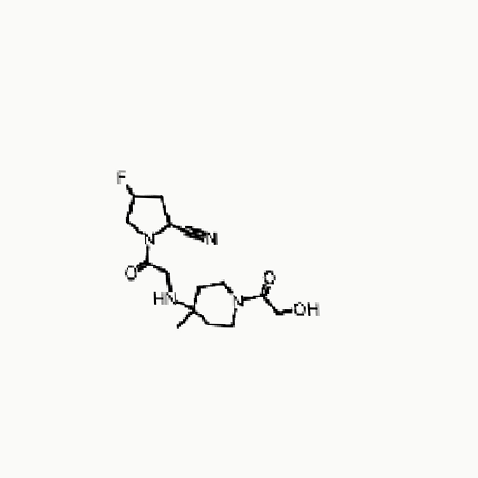 CC1(NCC(=O)N2CC(F)CC2C#N)CCN(C(=O)CO)CC1